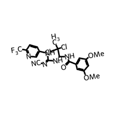 COc1cc(OC)cc(C(=O)NC(N/C(=N/C#N)Nc2ccc(C(F)(F)F)nc2)C(C)(Cl)Cl)c1